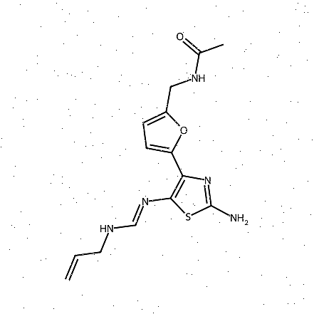 C=CCNC=Nc1sc(N)nc1-c1ccc(CNC(C)=O)o1